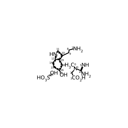 CN(CC(=O)O)C(=N)N.NCCc1c[nH]c2ccc(O)cc12.O=S(=O)(O)O